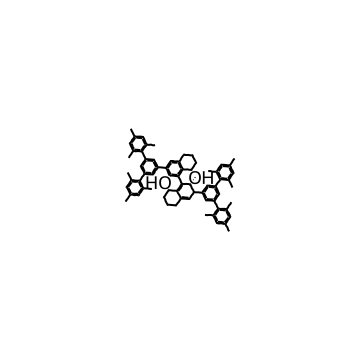 Cc1cc(C)c(-c2cc(-c3cc4c(c(C5=C6CCCCC6=CC(c6cc(-c7c(C)cc(C)cc7C)cc(-c7c(C)cc(C)cc7C)c6)[C@H]5O)c3O)CCCC4)cc(-c3c(C)cc(C)cc3C)c2)c(C)c1